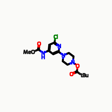 COC(=O)Nc1cc(Cl)nc(N2CCN(OC(=O)C(C)(C)C)CC2)c1